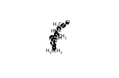 C[C@H]1CN(C2COC2)CCN1c1ccc(NC2=CC(c3ccnc(-n4ccn5c6c(cc5c4=O)CC(C)(C)C6)c3CO)=CN(C)C2)nc1